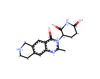 Cc1nc2cc3c(cc2c(=O)n1C1CCC(=O)NC1=O)CNCC3